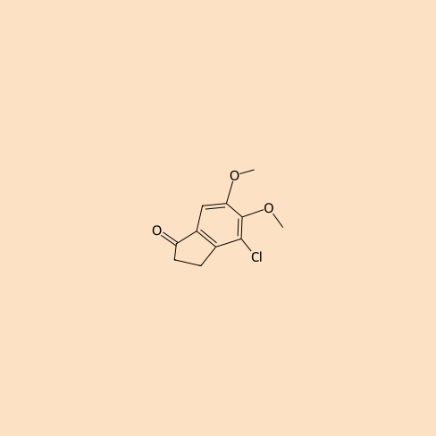 COc1cc2c(c(Cl)c1OC)CCC2=O